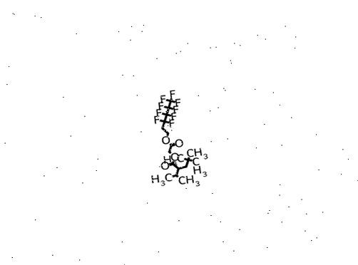 CC(C)C(CC(C)(C)C)C(=O)OCC(=O)OCCC(F)(F)C(F)(F)C(F)(F)C(F)(F)F